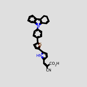 N#C/C(=C/c1ccc(-c2ccc(-c3ccc(-n4c5c(c6ccccc64)CCC=C5)cc3)s2)[nH]1)C(=O)O